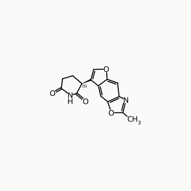 Cc1nc2cc3occ([C@@H]4CCC(=O)NC4=O)c3cc2o1